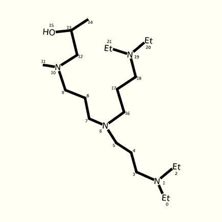 CCN(CC)CCCN(CCCN(C)CC(C)O)CCCN(CC)CC